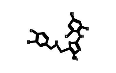 FC(F)(F)c1nc(Nc2c(Cl)cc(Cl)cc2Cl)sc1CNCc1ccc(Cl)c(Cl)c1